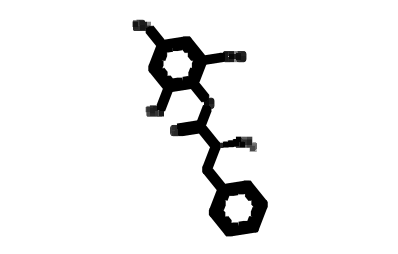 CC(C)(C)c1cc(C=O)c(OC(=O)[C@H](N)Cc2ccccc2)c(C(C)(C)C)c1